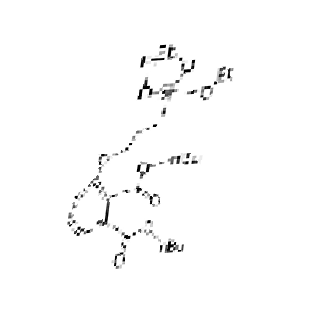 CCCCOC(=O)c1cccc(OCCC[Si](OCC)(OCC)OCC)c1C(=O)OCCCC